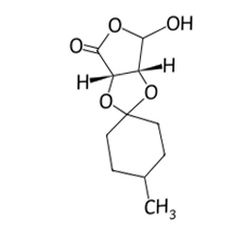 CC1CCC2(CC1)O[C@@H]1C(=O)OC(O)[C@@H]1O2